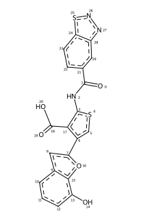 O=C(Nc1scc(-c2cc3cccc(O)c3o2)c1C(=O)O)c1ccc2snnc2c1